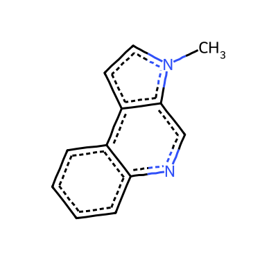 Cn1ccc2c3ccccc3ncc21